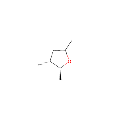 CC1C[C@@H](C)[C@H](C)O1